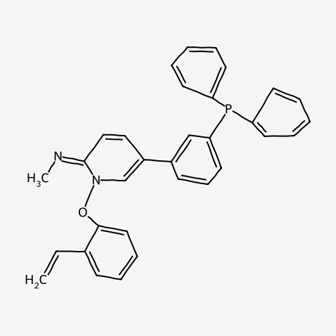 C=Cc1ccccc1On1cc(-c2cccc(P(c3ccccc3)c3ccccc3)c2)cc/c1=N/C